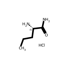 CCC[C@H](N)C(N)=O.Cl